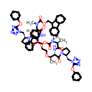 C[C@@H](OCCO[C@H](C)[C@H](NC(=O)[C@H](C)N(C)C(=O)OCC1c2ccccc2-c2ccccc21)C(=O)N1CCC[C@H]1Cn1nnnc1Oc1ccccc1)[C@H](NC(=O)[C@H](C)N(C)C(=O)OCC1c2ccccc2-c2ccccc21)C(=O)N1CCC[C@H]1Cn1nnnc1Oc1ccccc1